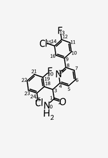 NC(=O)C(c1cccc(-c2ccc(F)c(Cl)c2)n1)c1c(F)cccc1Cl